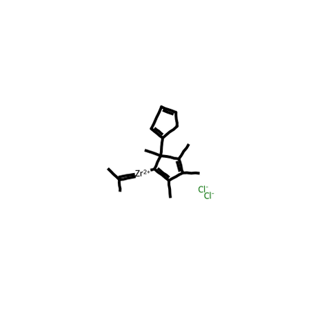 C[C](C)=[Zr+2][C]1=C(C)C(C)=C(C)C1(C)C1=CC=CC1.[Cl-].[Cl-]